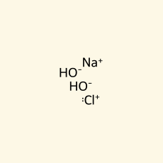 [Cl+].[Na+].[OH-].[OH-]